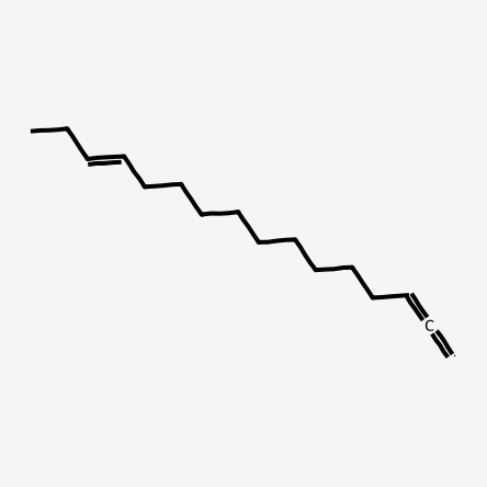 [CH]=C=CCCCCCCCCCC=CCC